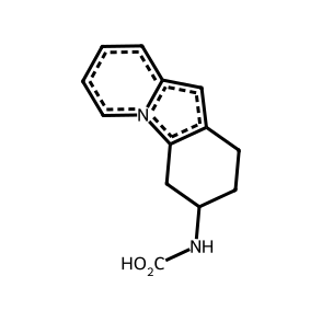 O=C(O)NC1CCc2cc3ccccn3c2C1